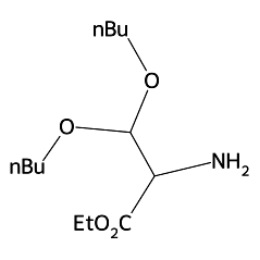 CCCCOC(OCCCC)C(N)C(=O)OCC